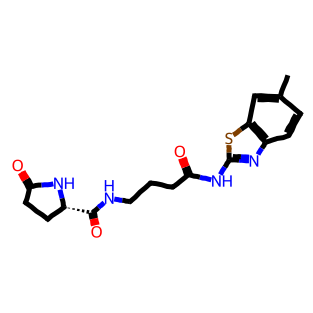 Cc1ccc2nc(NC(=O)CCCNC(=O)[C@@H]3CCC(=O)N3)sc2c1